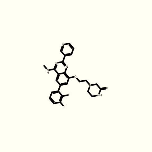 CNc1nc(-c2cccnc2)nc2c(OCCN3CCNC(=O)C3)cc(-c3cccc(F)c3F)cc12